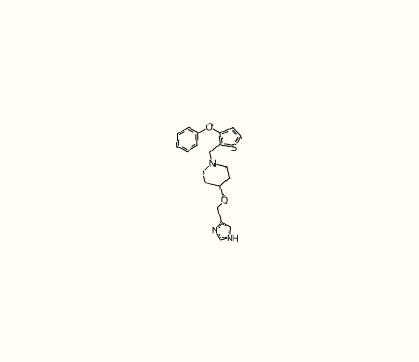 c1ccc(Oc2ccsc2CN2CCC(OCc3c[nH]cn3)CC2)cc1